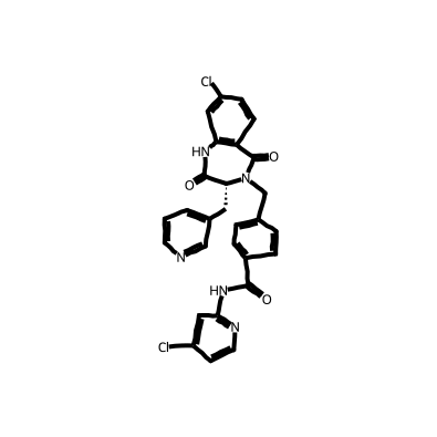 O=C(Nc1cc(Cl)ccn1)c1ccc(CN2C(=O)c3ccc(Cl)cc3NC(=O)[C@H]2Cc2cccnc2)cc1